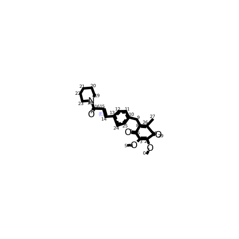 COC1=C(OC)C(=O)C(Cc2ccc(/C=C/C(=O)N3CCCCC3)cc2)=C(C)C1=O